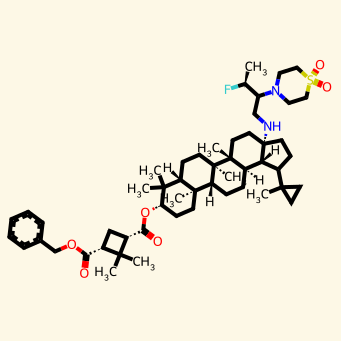 C[C@H](F)C(CN[C@]12CCC(C3(C)CC3)[C@@H]1[C@H]1CC[C@@H]3[C@@]4(C)CC[C@H](OC(=O)[C@H]5C[C@@H](C(=O)OCc6ccccc6)C5(C)C)C(C)(C)[C@@H]4CC[C@@]3(C)[C@]1(C)CC2)N1CCS(=O)(=O)CC1